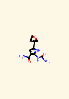 NC(=O)Nc1[nH]c(-c2ccoc2)cc1C(N)=O